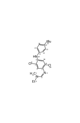 CCN(C)/C=N\c1cc(Cl)c(Nc2ccc(C(C)(C)C)cc2)cc1Cl